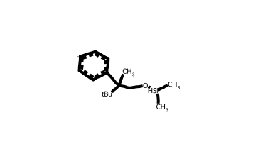 C[SiH](C)OCC(C)(c1cc[c]cc1)C(C)(C)C